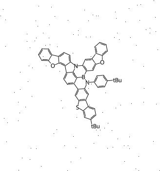 CC(C)(C)c1ccc(N2B3c4cc5oc6ccccc6c5cc4-n4c5ccc6c7ccccc7oc6c5c5ccc(c3c54)-c3cc4sc5cc(C(C)(C)C)ccc5c4cc32)cc1